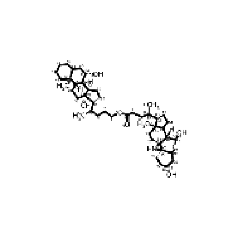 C[C@H](CCCOC(=O)CC[C@@H](C)[C@H]1CCC2[C@@H]3[C@@H](O)CC4C[C@H](O)CC[C@@]45N[C@]35CC[C@@]21C)[C@H]1CCC2[C@@H]3[C@@H](O)CC4CCCC[C@]4(C)[C@H]3CC[C@@]21C